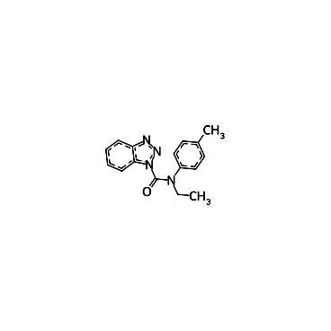 CCN(C(=O)n1nnc2ccccc21)c1ccc(C)cc1